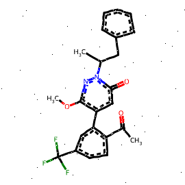 COc1nn(C(C)Cc2ccccc2)c(=O)cc1-c1cc(C(F)(F)F)ccc1C(C)=O